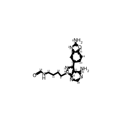 Nc1nc2cc(-c3nn(CCCCNC=O)c4ncnc(N)c34)ccc2o1